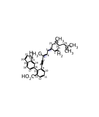 C=C/C(=C\C=C(/C)C#Cc1cccc(C(=O)O)c1-c1ccc2cc[nH]c2c1)CN(C)CCN(C)C